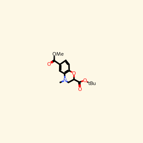 COC(=O)c1ccc2c(c1)N(C)CC(C(=O)OC(C)(C)C)O2